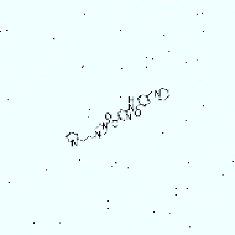 O=C(Nc1ccc(OC(=O)N2CCN(CCCc3ccccn3)CC2)cn1)c1ccc(CN2CCCCC2)cc1